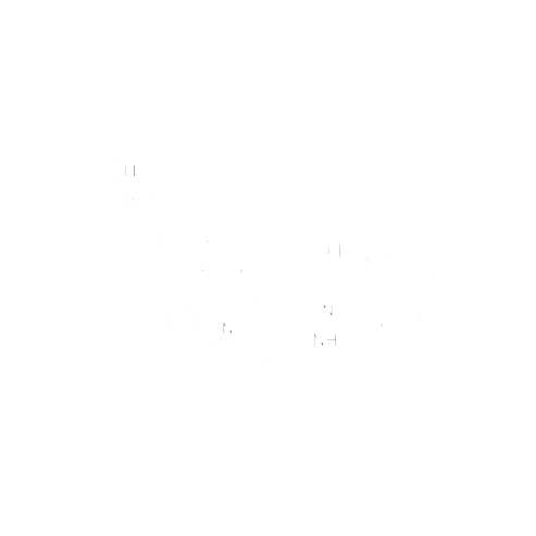 COc1cccc(OCC2=C3CN(c4ccccc4Cl)NC3=CCN2C)c1